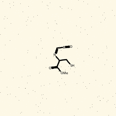 COC(=O)C(CS)/N=C\B=O